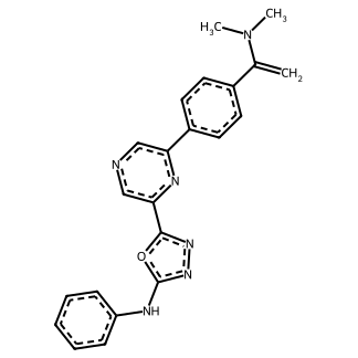 C=C(c1ccc(-c2cncc(-c3nnc(Nc4ccccc4)o3)n2)cc1)N(C)C